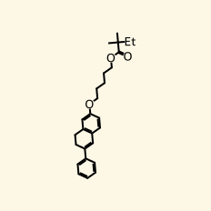 CCC(C)(C)C(=O)OCCCCCOc1ccc2c(c1)CCC(c1ccccc1)=C2